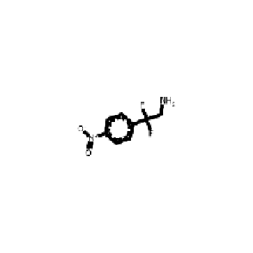 NCC(F)(F)c1ccc([N+](=O)[O-])cc1